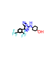 OC1CCC(Nc2nnc(-c3ccc(C(F)(F)F)cc3C(F)(F)F)c3cncn23)CC1